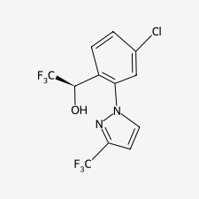 O[C@H](c1ccc(Cl)cc1-n1ccc(C(F)(F)F)n1)C(F)(F)F